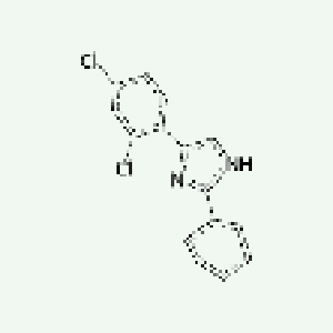 Clc1ccc(-c2c[nH]c(-c3ccccc3)n2)c(Cl)c1